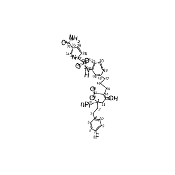 CCCC1(CCc2ccc(F)cc2)CC(O)=C(CCCc2cccc(NS(=O)(=O)c3ccc(C(N)=O)cn3)c2)C(=O)O1